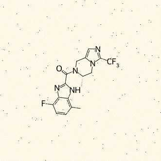 Cc1ccc(F)c2nc(C(=O)N3Cc4cnc(C(F)(F)F)n4C[C@@H]3C)[nH]c12